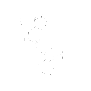 CCC(NC(=O)Cn1nc(C(F)(F)F)c2c1CCCC2)c1ccccc1